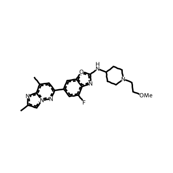 COCCN1CCC(Nc2nc3c(F)cc(-c4cc(C)c5nc(C)cn5n4)cc3o2)CC1